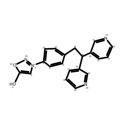 Oc1c[n+](-c2ccc(CC(c3cccnc3)c3cccnc3)cc2)no1